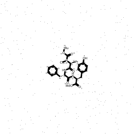 COC(=O)[C@H](Cc1ccc(O)cc1)NC(=O)[C@H](Cc1ccccc1)NC(=O)[C@H](C(C)C)N(Cl)C(=O)OC(C)(C)C